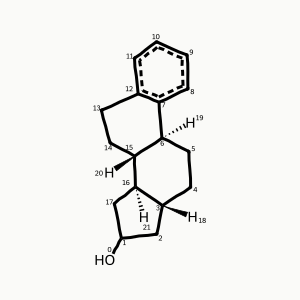 OC1C[C@H]2CC[C@@H]3c4ccccc4CC[C@H]3[C@@H]2C1